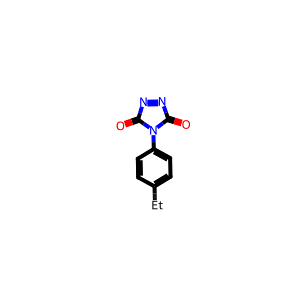 CCc1ccc(N2C(=O)N=NC2=O)cc1